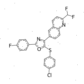 Fc1ccc(-c2nc(-c3ccc4nc(C(F)F)ccc4c3)c(Sc3ccc(Cl)cc3)o2)cc1